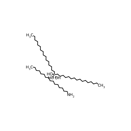 CCCCCCCCCCCCCCCCN.CCCCCCCCCCCCCCCCP(O)(O)(O)CCCCCCCCCCCCCCCC